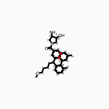 COCCCCC(c1cccc(C(=O)N2CC(N)C(O)C2)c1)c1cccc(F)c1-c1cccc(C)c1